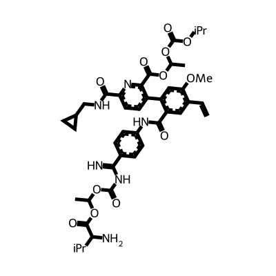 C=Cc1cc(C(=O)Nc2ccc(C(=N)NC(=O)OC(C)OC(=O)C(N)C(C)C)cc2)c(-c2ccc(C(=O)NCC3CC3)nc2C(=O)OC(C)OC(=O)OC(C)C)cc1OC